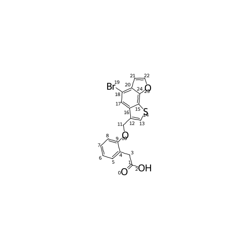 O=C(O)Cc1ccccc1OCc1csc2c1cc(Br)c1ccoc12